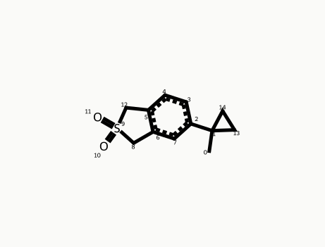 CC1(c2ccc3c(c2)CS(=O)(=O)C3)CC1